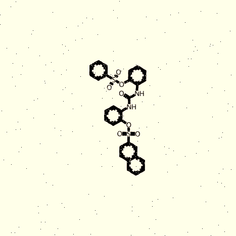 O=C(Nc1ccccc1OS(=O)(=O)c1ccccc1)Nc1ccccc1OS(=O)(=O)c1ccc2ccccc2c1